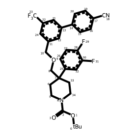 CC(C)(C)OC(=O)N1CCC(COCc2cc(-c3ccc(C#N)cc3)cc(C(F)(F)F)c2)(c2ccc(F)c(F)c2)CC1